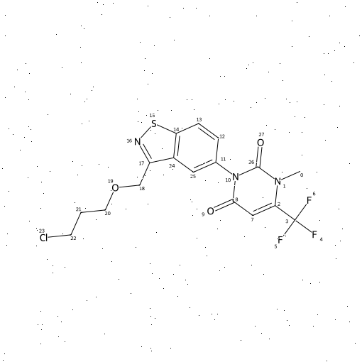 Cn1c(C(F)(F)F)cc(=O)n(-c2ccc3snc(COCCCCl)c3c2)c1=O